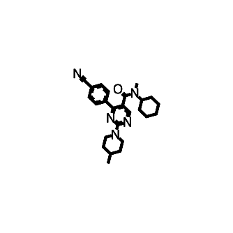 CC1CCN(c2ncc(C(=O)N(C)C3CCCCC3)c(-c3ccc(C#N)cc3)n2)CC1